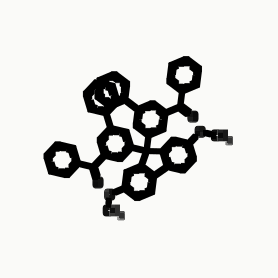 COc1ccc2c(c1)C(c1cc(C(=O)c3ccccc3)cc(-c3ccccc3)c1)(c1cc(C(=O)c3ccccc3)cc(-c3ccccc3)c1)c1cc(OC)ccc1-2